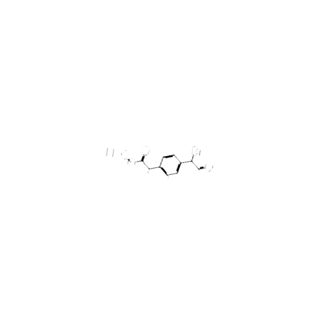 COC(=O)Cc1ccc(C(Br)C=O)cc1